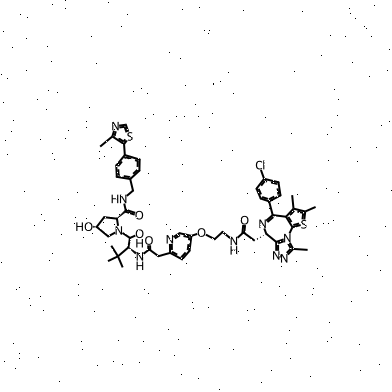 Cc1ncsc1-c1ccc(CNC(=O)[C@@H]2C[C@@H](O)CN2C(O)[C@@H](NC(=O)Cc2ccc(OCCNC(=O)C[C@@H]3N=C(c4ccc(Cl)cc4)c4c(sc(C)c4C)-n4c(C)nnc43)cn2)C(C)(C)C)cc1